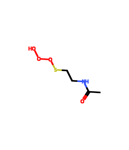 CC(=O)NCCSOOO